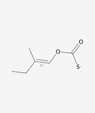 CC/C(C)=C/OC(=O)[S]